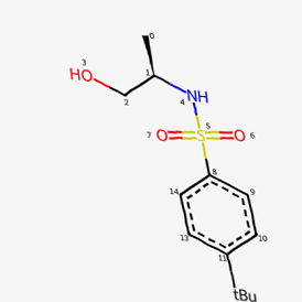 C[C@H](CO)NS(=O)(=O)c1ccc(C(C)(C)C)cc1